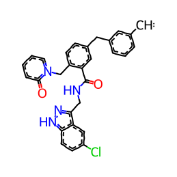 [CH]c1cccc(Cc2ccc(Cn3ccccc3=O)c(C(=O)NCc3n[nH]c4ccc(Cl)cc34)c2)c1